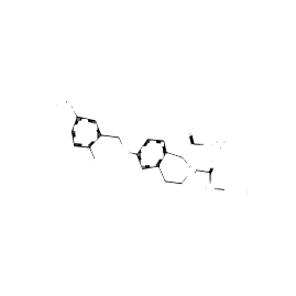 COC(=O)[C@H]1c2ccc(OCc3cc([N+](=O)[O-])ccc3Cl)cc2CCN1C(=O)OC(C)(C)C